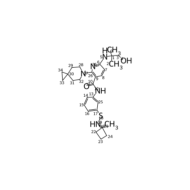 CC(C)(CO)Nc1ccc(C(=O)Nc2cccc(SNC3(C)CCC3)c2)c(N2CCC3(CC2)CC3)n1